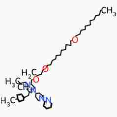 C=C(CCOCCCCCCCCCCCOCCCCCCCCCCCC)OCC1CN(C2CCN(c3ccccn3)CC2)C(Cc2ccc(C)cc2)CN1CC(C)C